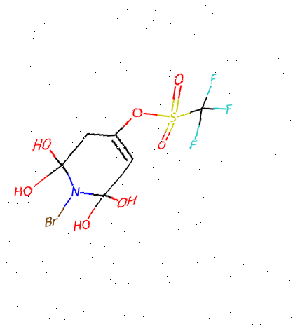 O=S(=O)(OC1=CC(O)(O)N(Br)C(O)(O)C1)C(F)(F)F